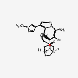 CC(=O)c1c([C@@H]2C[C@H]3CC[C@@H](C2)N3C(=O)CO)nc2c(-c3cnn(C)c3)cnn2c1N